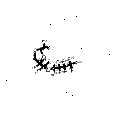 FC(F)=C1OCC(F)(C(F)(F)OC(F)(F)C(F)(F)C(F)(F)C(F)(F)F)O1